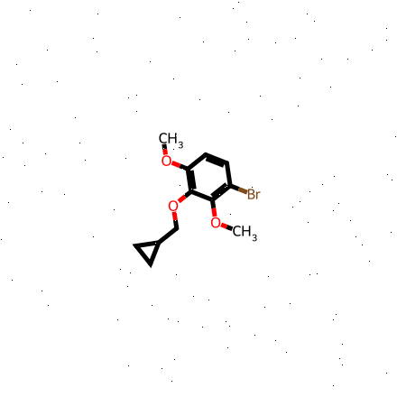 COc1ccc(Br)c(OC)c1OCC1CC1